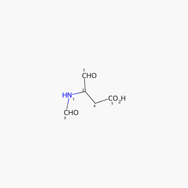 O=CNC(C=O)CC(=O)O